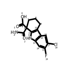 NC(=O)C1(C(=O)O)CCCc2c1[nH]c1cc(F)c(Cl)cc21